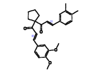 COc1ccc(/C=C/C(=O)C2(C(=O)/C=C/c3ccc(C)c(C)c3)CCCC2)cc1OC